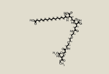 CSC(=O)C(CSCC(=O)NCCOCCOCCNC(=O)CCC(NC(=O)CCC(NC(=O)CCCCCCCCCCCCCCC(=O)O)C(=O)O)C(=O)O)NC(C)C